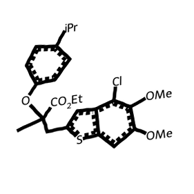 CCOC(=O)C(C)(Cc1cc2c(Cl)c(OC)c(OC)cc2s1)Oc1ccc(C(C)C)cc1